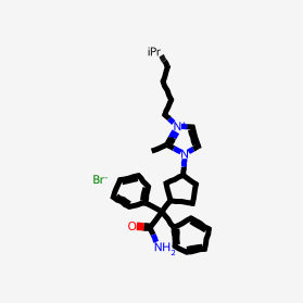 Cc1n(C2CCC(C(C(N)=O)(c3ccccc3)c3ccccc3)C2)cc[n+]1CCCCC(C)C.[Br-]